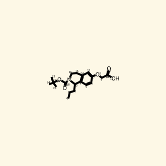 CCCC1c2ccc(OCC(=O)O)cc2CCN1C(=O)OC(C)(C)C